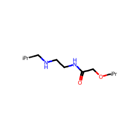 CC(C)CNCCNC(=O)COC(C)C